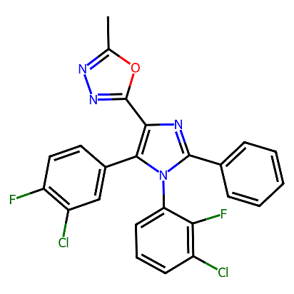 Cc1nnc(-c2nc(-c3ccccc3)n(-c3cccc(Cl)c3F)c2-c2ccc(F)c(Cl)c2)o1